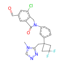 Cn1cnnc1CC1(c2cccc(N3Cc4c(Cl)cc(C=O)cc4C3=O)c2)CC(F)(F)C1